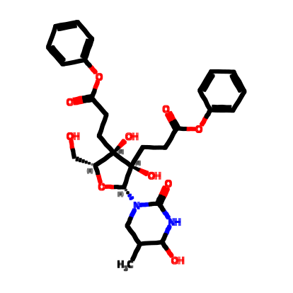 CC1CN([C@@H]2O[C@H](CO)[C@](O)(CCC(=O)Oc3ccccc3)[C@]2(O)CCC(=O)Oc2ccccc2)C(=O)NC1O